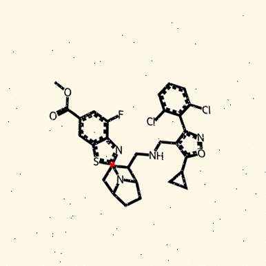 COC(=O)c1cc(F)c2nc(N3C4CCC(CNCc5c(-c6c(Cl)cccc6Cl)noc5C5CC5)C3CC4)sc2c1